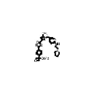 COC1(c2ccc(-c3noc(-c4cc(C)n(Cc5ccc(NCCN6CCCC6)nc5)n4)n3)cc2)COC1